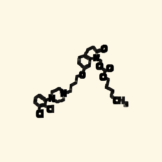 CCCCCOC(=O)OCN1C(=O)CCc2ccc(OCCCCN3CCN(c4cccc(Cl)c4Cl)CC3)cc21